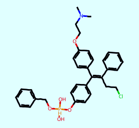 CN(C)CCOc1ccc(/C(=C(/CCCl)c2ccccc2)c2ccc(O[PH](O)(O)OCc3ccccc3)cc2)cc1